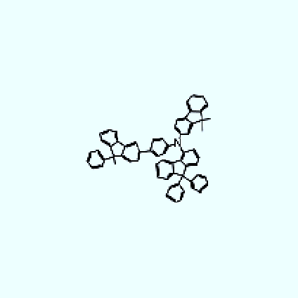 CC1(C)c2ccccc2-c2ccc(N(c3ccc(-c4ccc5c(c4)-c4ccccc4C5(C)c4ccccc4)cc3)c3cccc4c3-c3ccccc3C4(c3ccccc3)c3ccccc3)cc21